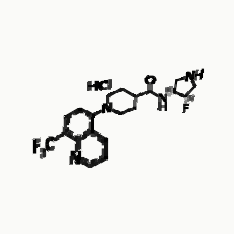 Cl.O=C(N[C@@H]1CNC[C@@H]1F)C1CCN(c2ccc(C(F)(F)F)c3ncccc23)CC1